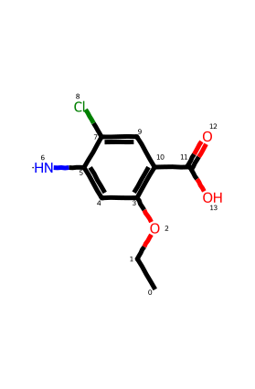 CCOc1cc([NH])c(Cl)cc1C(=O)O